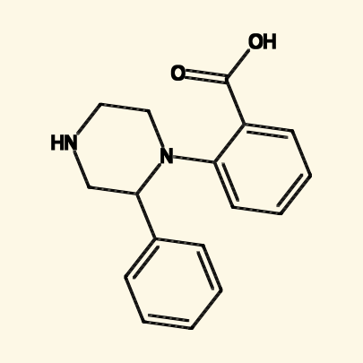 O=C(O)c1ccccc1N1CCNCC1c1ccccc1